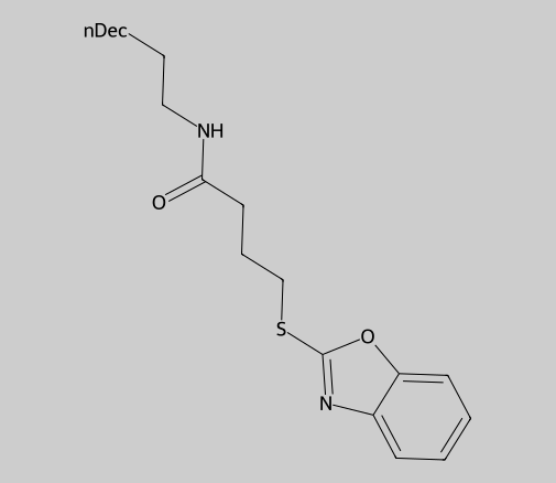 CCCCCCCCCCCCNC(=O)CCCSc1nc2ccccc2o1